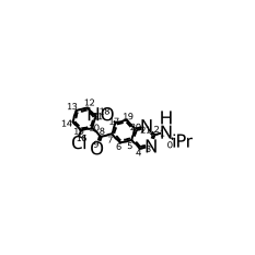 CC(C)Nc1ncc2cc(C(=O)c3ccccc3Cl)c(O)cc2n1